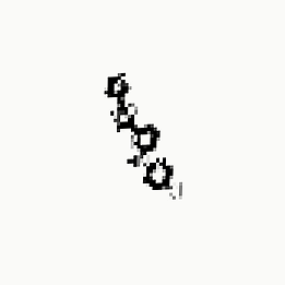 Clc1ccc(Nc2cccc(-c3cnc(-c4ccsc4)o3)n2)nc1